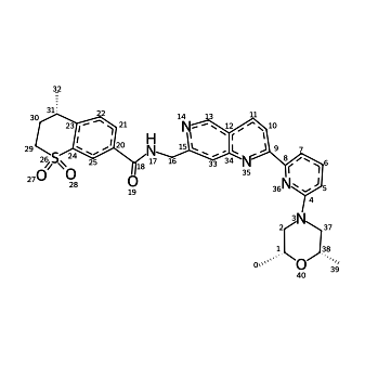 C[C@@H]1CN(c2cccc(-c3ccc4cnc(CNC(=O)c5ccc6c(c5)S(=O)(=O)CC[C@@H]6C)cc4n3)n2)C[C@H](C)O1